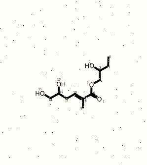 CCC(O)COC(=O)C(C)=CCC(O)CO